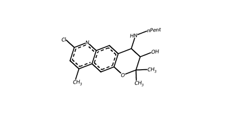 CCCCCNC1c2cc3nc(Cl)cc(C)c3cc2OC(C)(C)C1O